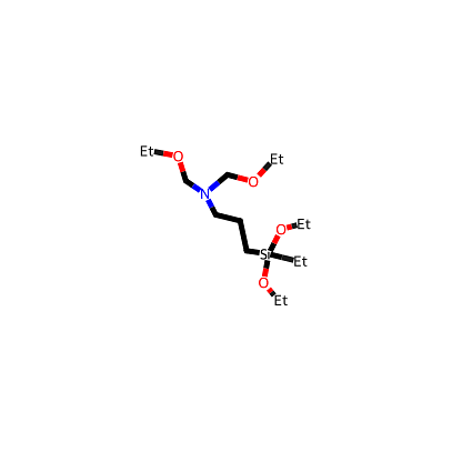 CCOCN(CCC[Si](CC)(OCC)OCC)COCC